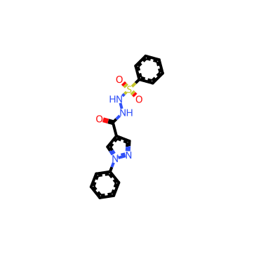 O=C(NNS(=O)(=O)c1ccccc1)c1cnn(-c2ccccc2)c1